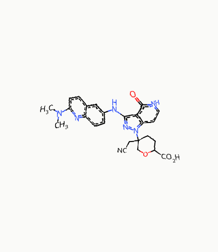 CN(C)c1ccc2cc(Nc3nn(C4(CC#N)CCC(C(=O)O)OC4)c4cc[nH]c(=O)c34)ccc2n1